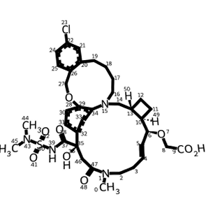 CN1CC/C=C/[C@H](OCC(=O)O)[C@@H]2CC[C@H]2CN2CCCCc3cc(Cl)ccc3COc3ccc(cc32)[C@@](O)(C(=O)NS(=O)(=O)N(C)C)CC1=O